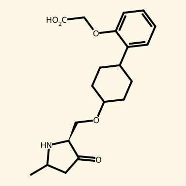 CC1CC(=O)[C@H](COC2CCC(c3ccccc3OCC(=O)O)CC2)N1